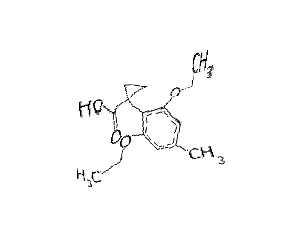 CCOc1cc(C)cc(OCC)c1C1(C(=O)O)CC1